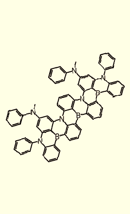 CN(c1ccccc1)c1cc2c3c(c1)N1c4cccc5c4B(c4cccc(c41)B3c1ccccc1N2c1ccccc1)c1cccc2c1N5c1cc(N(C)c3ccccc3)cc3c1B2c1ccccc1N3c1ccccc1